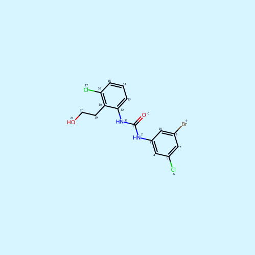 O=C(Nc1cc(Cl)cc(Br)c1)Nc1cccc(Cl)c1CCO